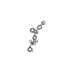 O=C(NCc1cccnc1)Nc1ccc(-n2nc(N3CCN(C4COC4)CC3)c3ccccc32)cc1